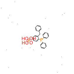 O=P(O)(O)O.c1ccc(Cc2ccccc2P(c2ccccc2)c2ccccc2)cc1